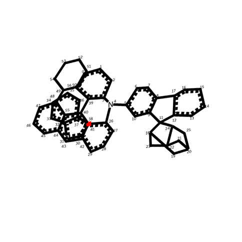 c1ccc(N(c2ccc3c(c2)C2(c4ccccc4-3)C3CC4CC(C3)C2C4)c2cccc3sc4ccccc4c23)c(-c2cccc3cccc(C4CCCCC4)c23)c1